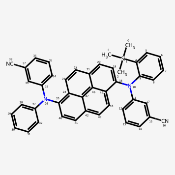 C[Si](C)(C)c1ccccc1N(c1cccc(C#N)c1)c1ccc2ccc3c(N(c4ccccc4)c4cccc(C#N)c4)ccc4ccc1c2c43